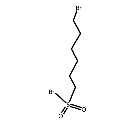 O=S(=O)(Br)CCCCCCBr